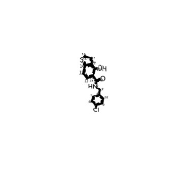 O=C(NCc1ccc(Cl)cc1)c1ccc2sccc2c1O